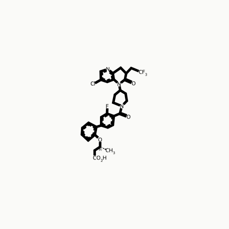 C[C@H](CC(=O)O)Oc1ccccc1-c1ccc(C(=O)N2CCC(N3C(=O)C(CC(F)(F)F)Cc4ncc(Cl)cc43)CC2)c(F)c1